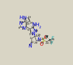 N#CCC1(n2cc(-c3ncnc4[nH]ccc34)c(N)n2)CN(S(=O)(=O)CC(F)(F)F)C1